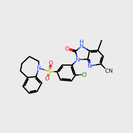 Cc1cc(C#N)nc2c1[nH]c(=O)n2-c1cc(S(=O)(=O)N2CCCCc3ccccc32)ccc1Cl